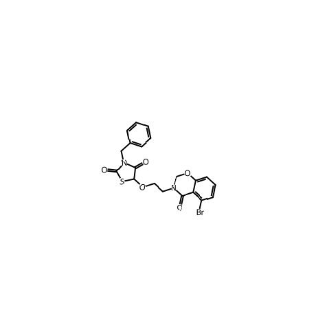 O=C1c2c(Br)cccc2OCN1CCOC1SC(=O)N(Cc2ccccc2)C1=O